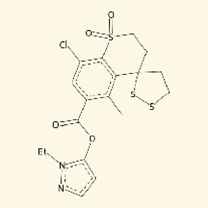 CCn1nccc1OC(=O)c1cc(Cl)c2c(c1C)C1(CCSS1)CCS2(=O)=O